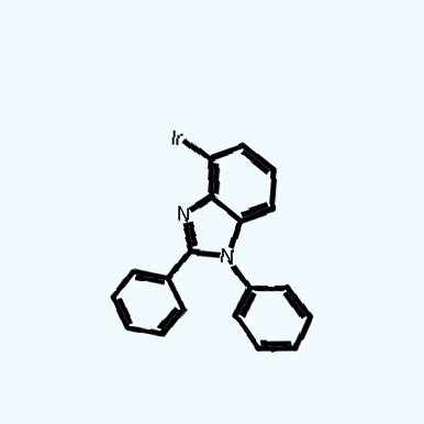 [Ir][c]1cccc2c1nc(-c1ccccc1)n2-c1ccccc1